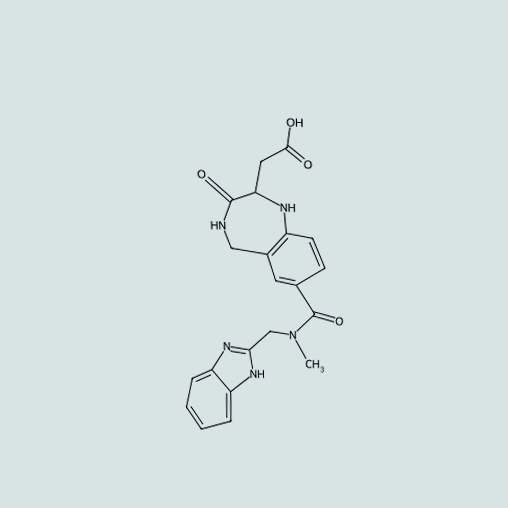 CN(Cc1nc2ccccc2[nH]1)C(=O)c1ccc2c(c1)CNC(=O)C(CC(=O)O)N2